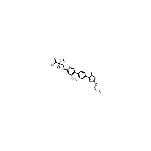 CCOc1n[nH]c(-c2ccc(-c3cnc(OCC(C)(C)C(=O)O)cc3C)cc2)n1